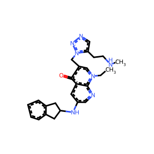 CCn1cc(Cn2nncc2CCNC)c(=O)c2cc(NC3Cc4ccccc4C3)cnc21